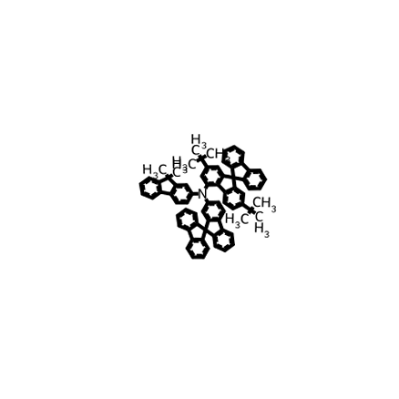 CC(C)(C)c1ccc2c(c1)C1(c3ccccc3-c3ccccc31)c1cc(C(C)(C)C)cc(N(c3ccc4c(c3)C(C)(C)c3ccccc3-4)c3ccc4c(c3)C3(c5ccccc5-c5ccccc53)c3ccccc3-4)c1-2